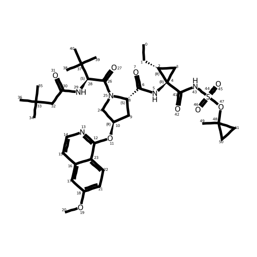 CC[C@@H]1C[C@]1(NC(=O)[C@@H]1C[C@@H](Oc2nccc3cc(OC)ccc23)CN1C(=O)[C@@H](NC(=O)CC(C)(C)C)C(C)(C)C)C(=O)NS(=O)(=O)OC1(C)CC1